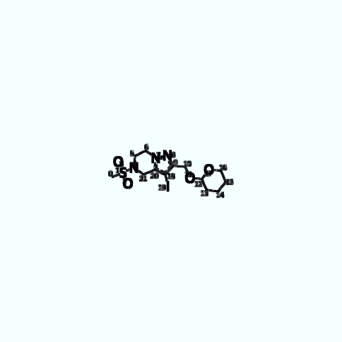 CS(=O)(=O)N1CCn2nc(COC3CCCCO3)c(I)c2C1